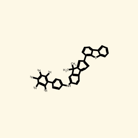 [2H]c1c([2H])c([2H])c(-c2ccc(Nc3ccc4c(c3)C(C)(C)c3cc(-c5cccc6c5sc5ccccc56)ccc3-4)cc2)c([2H])c1[2H]